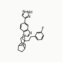 O=C(CCc1cccc(F)c1)N1C2CCC1C(Cn1cnc3cc(-c4cn[nH]n4)ccc31)C2